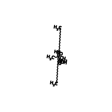 CCCCCCCCCCCCCCCCCCNC(=O)OCC(CC)(CCCC)CC(CCCCCCCCCCCCCCCCC)NC(=O)O